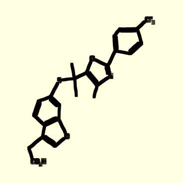 Cc1nc(-c2ccc(C(F)(F)F)cc2)oc1C(C)(C)Sc1ccc2c(CC(=O)O)coc2c1